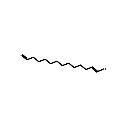 [CH]=CCCCCCCCCCCC=CCC